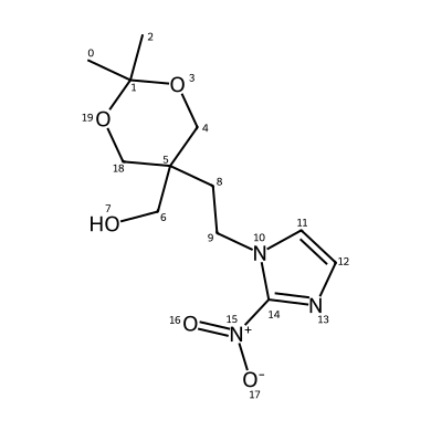 CC1(C)OCC(CO)(CCn2ccnc2[N+](=O)[O-])CO1